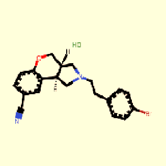 Cl.N#Cc1ccc2c(c1)[C@@H]1CN(CCc3ccc(Br)cc3)C[C@H]1CO2